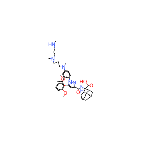 CNCCCN(C)CCCN(C)c1ccc(-n2nc(C(=O)NC3(C(=O)O)C4CC5CC6CC3C64C5)cc2-c2c(OC)cccc2OC)c(C(C)C)c1